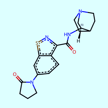 O=C(N[C@@H]1CN2CCC1CC2)c1nsc2cc(N3CCCC3=O)ccc12